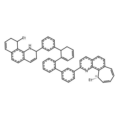 CCC1CC=Cc2ccc3c(c21)NC(c1cccc(C2CC=CC=C2c2ccccc2-c2cccc(-c4ccc5ccc6c(c5n4)[C@@H](CC)C=CC=C6)c2)c1)C=C3